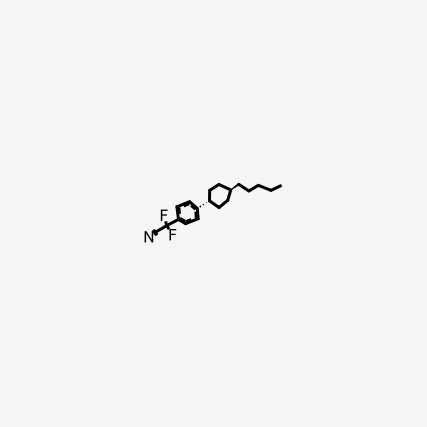 CCCCC[C@H]1CC[C@H](c2ccc(C(F)(F)C#N)cc2)CC1